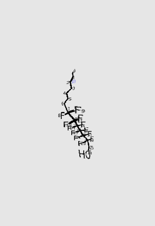 C/C=C/CCCCC(F)(F)C(F)(F)C(F)(F)C(F)(F)C(F)(F)C(F)(F)CO